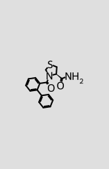 NC(=O)[C@@H]1CSCN1C(=O)c1ccccc1-c1ccccc1